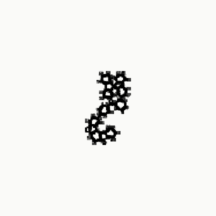 c1ccc(N(c2ccc(-c3ccc4oc5ccc6sc7ccccc7c6c5c4c3)cc2)c2ccc3c(c2)C(c2ccccc2)(c2ccccc2)c2ccccc2-3)cc1